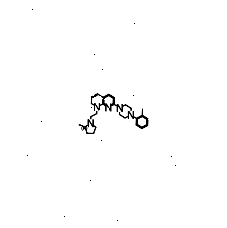 Cc1ccccc1N1CCN(c2ccc3c(n2)N(CCN2CCC[C@H]2C)CC=C3)CC1